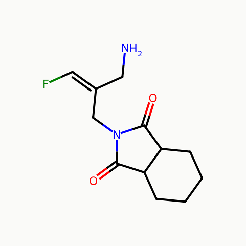 NC/C(=C/F)CN1C(=O)C2CCCCC2C1=O